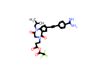 CC(C)CN1C(=O)CN(CCC(=O)OC(=O)C(F)(F)F)C(=O)c2cc(C#Cc3ccc(C(=N)N)cc3)ccc21